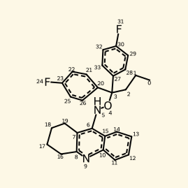 CCCC(ONc1c2c(nc3ccccc13)CCCC2)(c1ccc(F)cc1)c1ccc(F)cc1